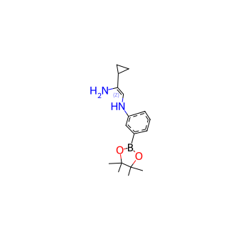 CC1(C)OB(c2cccc(N/C=C(\N)C3CC3)c2)OC1(C)C